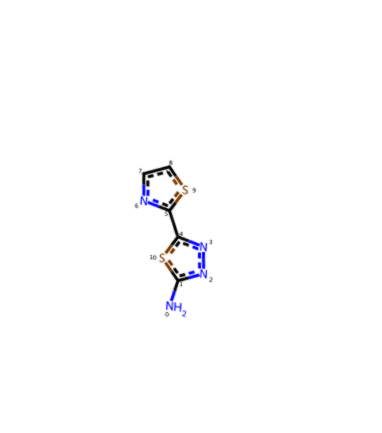 Nc1nnc(-c2nccs2)s1